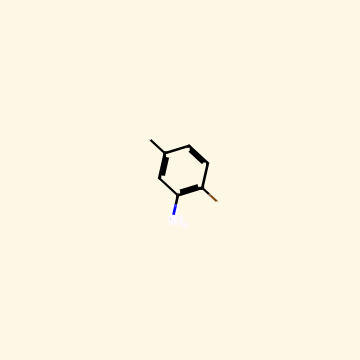 Bc1ccc(Br)c(N)c1